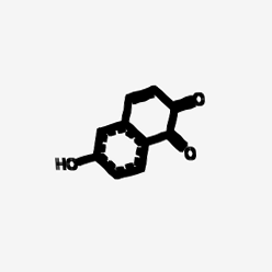 O=C1C=Cc2cc(O)ccc2C1=O